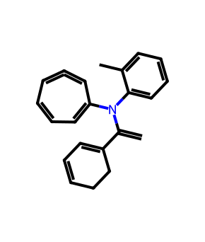 C=C(C1=CC=CCC1)N(C1=CC=CC=C=C1)c1ccccc1C